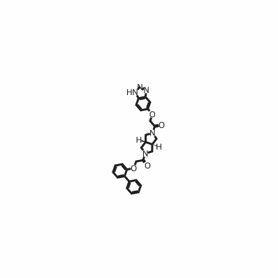 O=C(COc1ccc2[nH]nnc2c1)N1C[C@H]2CN(C(=O)COc3ccccc3-c3ccccc3)C[C@@H]2C1